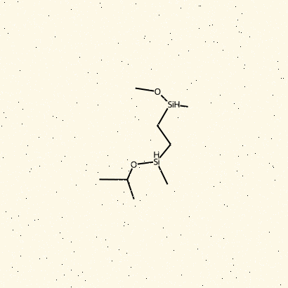 CO[SiH](C)CC[SiH](C)OC(C)C